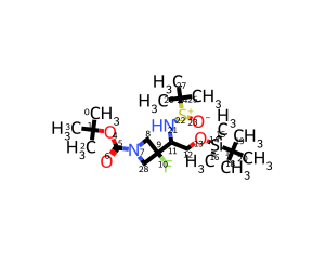 CC(C)(C)OC(=O)N1CC(F)(C(CO[Si](C)(C)C(C)(C)C)N[S+]([O-])C(C)(C)C)C1